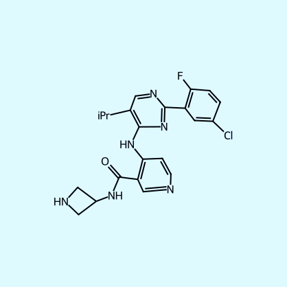 CC(C)c1cnc(-c2cc(Cl)ccc2F)nc1Nc1ccncc1C(=O)NC1CNC1